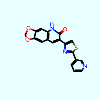 O=c1[nH]c2cc3c(cc2cc1-c1csc(-c2cccnc2)n1)OCO3